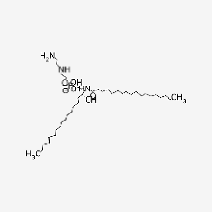 CCCCCCCCCCCCCCCCCC(=O)N[C@@H](COP(=O)(O)OCCNCCN)[C@H](O)CCCCCCCCCCCCCCC